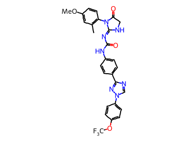 COc1ccc(N2C(=O)CN/C2=N\C(=O)Nc2ccc(-c3ncn(-c4ccc(OC(F)(F)F)cc4)n3)cc2)c(C)c1